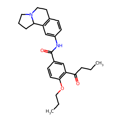 CCCOc1ccc(C(=O)Nc2ccc3c(c2)C2CCCN2CC3)cc1C(=O)CCC